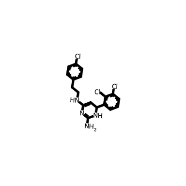 NC1=NC(NCCc2ccc(Cl)cc2)=CC(c2cccc(Cl)c2Cl)N1